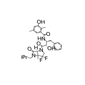 Cc1cc(O)c(C)c(C(=O)N[C@@H](Cc2ccccc2)[C@H](O)C(=O)N2CC(F)(F)C3(C)[C@H]2C(=O)N3CC(C)C)c1